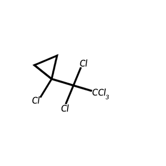 ClC(Cl)(Cl)C(Cl)(Cl)C1(Cl)CC1